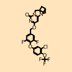 O=c1nc(OCc2cc(F)c(Oc3ccc(OC(F)(F)F)c(Cl)c3)c(F)c2)cc2n1CC13CC(CN21)C3